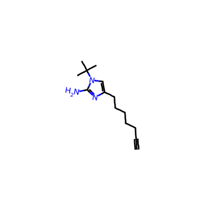 C#CCCCCCc1cn(C(C)(C)C)c(N)n1